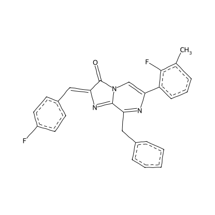 Cc1cccc(C2=CN3C(=O)/C(=C/c4ccc(F)cc4)N=C3C(Cc3ccccc3)=N2)c1F